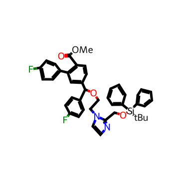 COC(=O)c1ccc(C(OCCn2ccnc2CO[Si](c2ccccc2)(c2ccccc2)C(C)(C)C)c2ccc(F)cc2)cc1-c1ccc(F)cc1